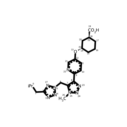 CC(C)Cc1nnn(Cc2c(-c3ccc(O[C@H]4CCC[C@H](C(=O)O)C4)cn3)nnn2C)n1